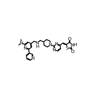 CN(C)c1cc(CNCC2CCN(c3nccc(/C=C4\SC(=O)NC4=O)n3)CC2)cc(-c2cccnc2)n1